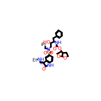 CCN/C=C1/C(=O)Nc2ccc(S(=O)(=O)N(CC(C)C)CC(O)C(Cc3ccccc3)NC(=O)OC3COC4OCCC34)cc21